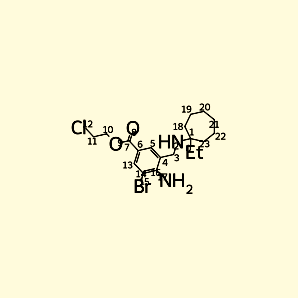 CCC1(NCc2cc(C(=O)OCCCl)cc(Br)c2N)CCCCCC1